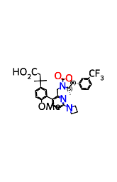 COc1ccc(C(C)(C)CC(=O)O)cc1-c1ccc(N2CCC2)nc1CN1C(=O)O[C@H](c2cccc(C(F)(F)F)c2)[C@@H]1C